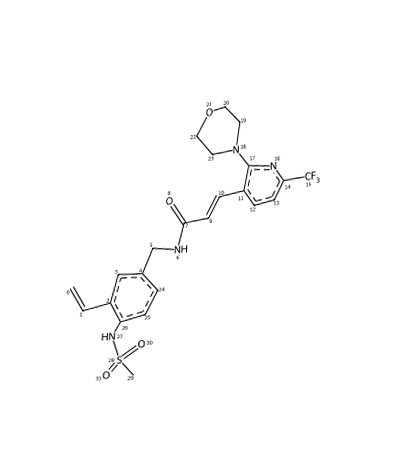 C=Cc1cc(CNC(=O)C=Cc2ccc(C(F)(F)F)nc2N2CCOCC2)ccc1NS(C)(=O)=O